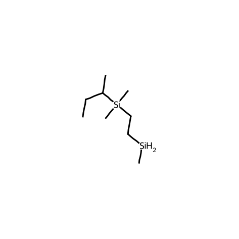 CCC(C)[Si](C)(C)CC[SiH2]C